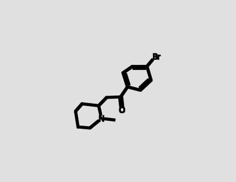 CN1CCCCC1CC(=O)c1ccc(Br)cc1